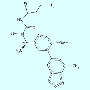 CCC(CCC(F)(F)F)NC(=O)N(CC)[C@H](C)c1ccc(OC)c(-c2cc(C)c3nccn3c2)c1